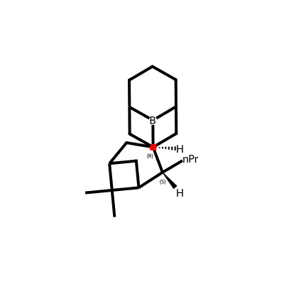 CCC[C@@H]1C2CC(C[C@H]1B1C3CCCC1CCC3)C2(C)C